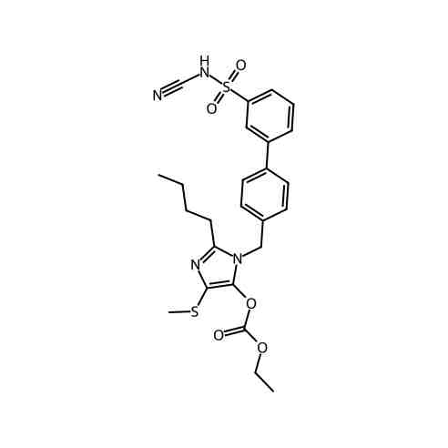 CCCCc1nc(SC)c(OC(=O)OCC)n1Cc1ccc(-c2cccc(S(=O)(=O)NC#N)c2)cc1